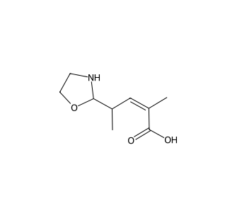 CC(=CC(C)C1NCCO1)C(=O)O